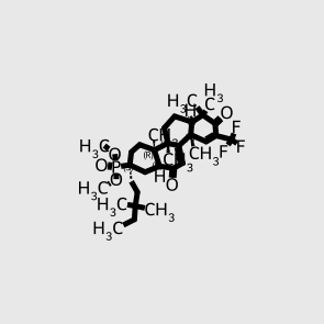 CCC(C)(C)CC[C@]1(P(=O)(OC)OC)CC[C@]2(C)[C@@H](C1)C(=O)C=C1[C@@]3(C)C=C(C(F)(F)F)C(=O)C(C)(C)[C@@H]3CC[C@]12C